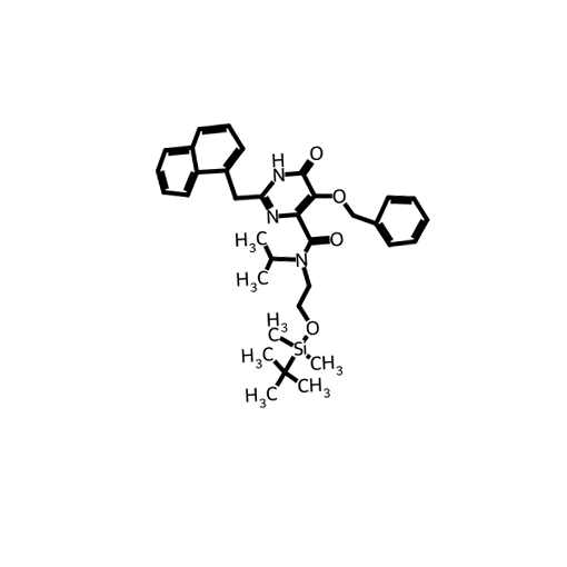 CC(C)N(CCO[Si](C)(C)C(C)(C)C)C(=O)c1nc(Cc2cccc3ccccc23)[nH]c(=O)c1OCc1ccccc1